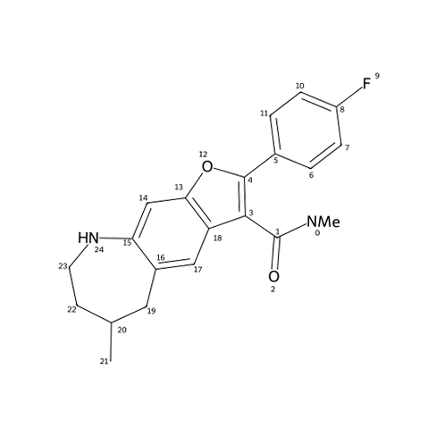 CNC(=O)c1c(-c2ccc(F)cc2)oc2cc3c(cc12)CC(C)CCN3